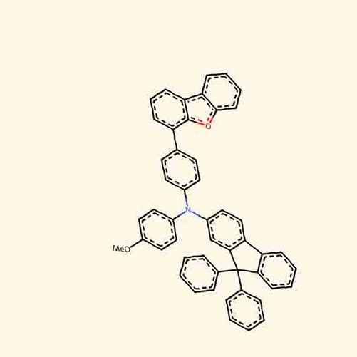 COc1ccc(N(c2ccc(-c3cccc4c3oc3ccccc34)cc2)c2ccc3c(c2)C(c2ccccc2)(c2ccccc2)c2ccccc2-3)cc1